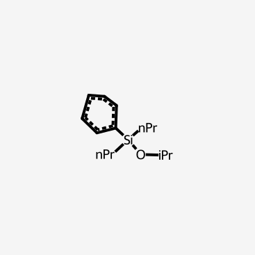 CCC[Si](CCC)(OC(C)C)c1ccccc1